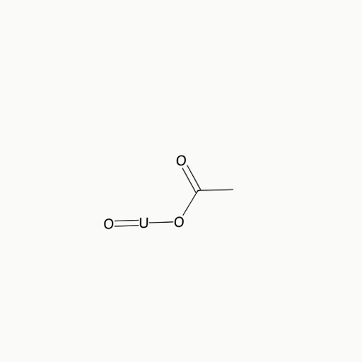 CC(=O)[O][U]=[O]